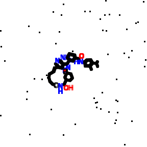 Cc1cc(NC(=O)c2cccc(-c3nn4c5c(cnc(N)c35)/C=C/CCCCCNC(O)C3CCC[C@@H]4C3)c2)ccc1C(C)C